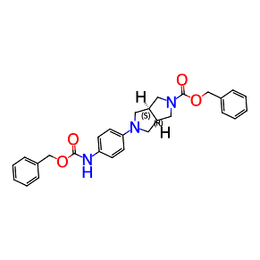 O=C(Nc1ccc(N2C[C@H]3CN(C(=O)OCc4ccccc4)C[C@H]3C2)cc1)OCc1ccccc1